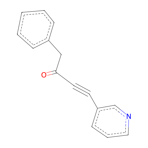 O=C(C#Cc1cccnc1)Cc1ccccc1